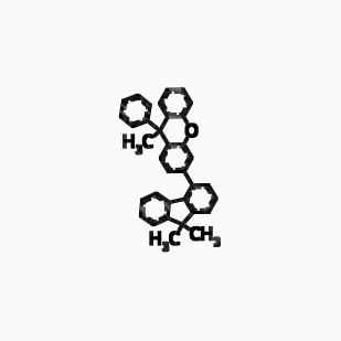 CC1(C)c2ccccc2-c2c(-c3ccc4c(c3)Oc3ccccc3C4(C)c3ccccc3)cccc21